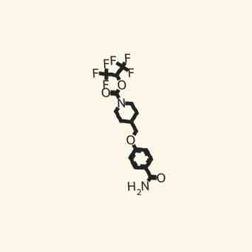 NC(=O)c1ccc(OCC2CCN(C(=O)OC(C(F)(F)F)C(F)(F)F)CC2)cc1